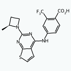 C[C@H]1CCN1c1nc(Nc2ccc(C(=O)O)c(C(F)(F)F)c2)c2ccsc2n1